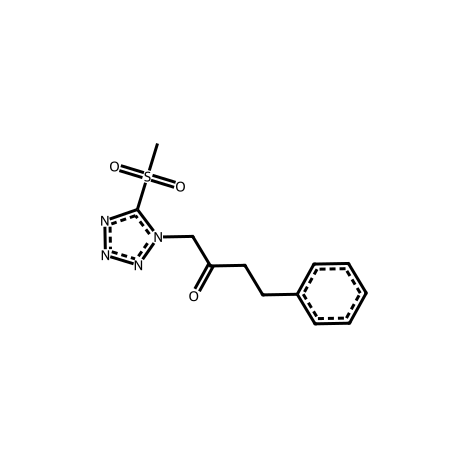 CS(=O)(=O)c1nnnn1CC(=O)CCc1ccccc1